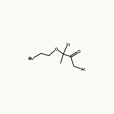 CCC(C)CCOC(C)(CC)C(=O)CC(C)=O